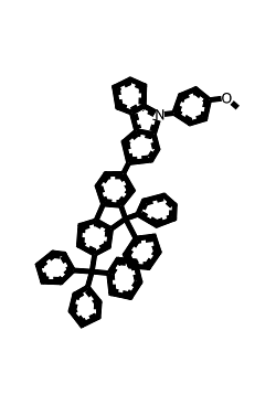 COc1ccc(-n2c3ccccc3c3cc(-c4ccc5c(c4)C(c4ccccc4)(c4ccccc4)c4cc(C(c6ccccc6)(c6ccccc6)c6ccccc6)ccc4-5)ccc32)cc1